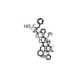 CC(C)C[C@H](NC(=O)[C@H](CC1CCCCC1)NC(=O)[C@H](C)N(C)C(=O)[C@@H]1CCCN1)C(=O)N1CCC[C@H]1C(=O)N(C)[C@@H](Cc1ccccc1)C(=O)O